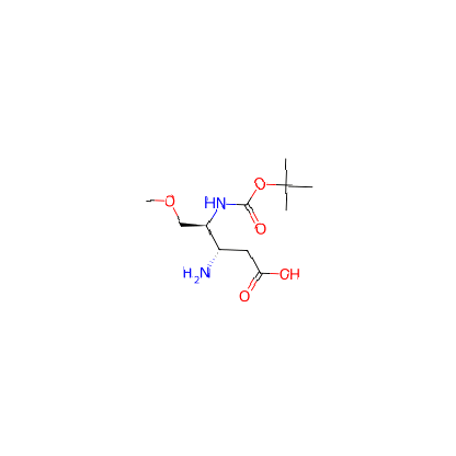 COC[C@@H](NC(=O)OC(C)(C)C)[C@@H](N)CC(=O)O